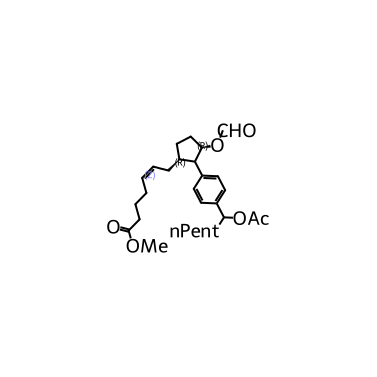 CCCCCC(OC(C)=O)c1ccc(C2[C@@H](C/C=C\CCCC(=O)OC)CC[C@H]2OC=O)cc1